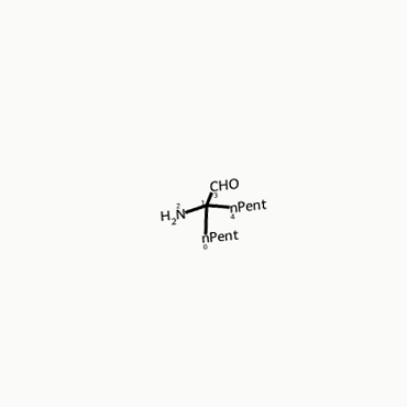 CCCCCC(N)(C=O)CCCCC